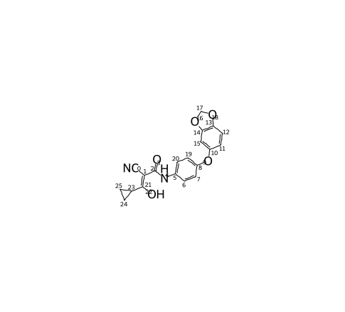 N#CC(C(=O)Nc1ccc(Oc2ccc3c(c2)OCO3)cc1)=C(O)C1CC1